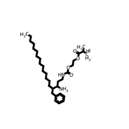 CCCCCCCCCCCCCCCC(Cc1ccccc1)C(N)CCNC(=O)OCCOC(=O)C(C)C.I